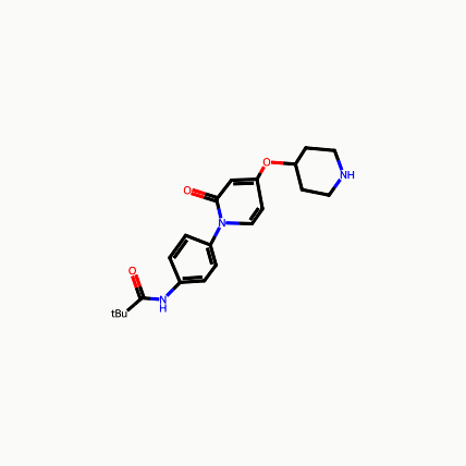 CC(C)(C)C(=O)Nc1ccc(-n2ccc(OC3CCNCC3)cc2=O)cc1